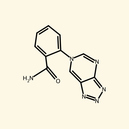 NC(=O)c1ccccc1-n1cnc2nnnc-2c1